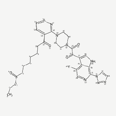 CCOC(=O)CCCCCCC(=O)c1cccnc1N1CCN(C(=O)C(=O)c2c[nH]c3c(-n4ccnn4)ncc(F)c23)CC1